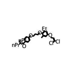 CCCN(CCC)C(=O)c1ccc(OCCCOc2c(C)cc(OCC=C(Cl)Cl)cc2CC)cc1